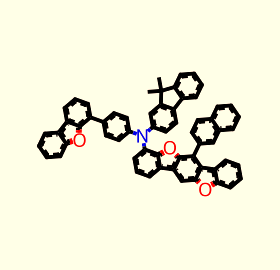 CC1(C)c2ccccc2-c2ccc(N(c3ccc(-c4cccc5c4oc4ccccc45)cc3)c3cccc4c3oc3c(-c5ccc6ccccc6c5)c5c(cc34)oc3ccccc35)cc21